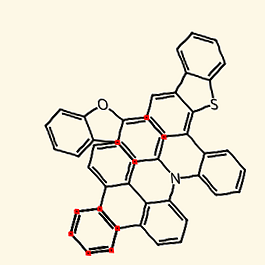 c1ccc(-c2ccccc2-c2c(-c3ccccc3)cccc2N(c2ccc3oc4ccccc4c3c2)c2ccccc2-c2cccc3c2sc2ccccc23)cc1